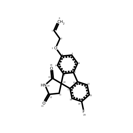 C=CCOc1ccc2c(c1)C1(CC(=O)NC1=O)c1cc(F)ccc1-2